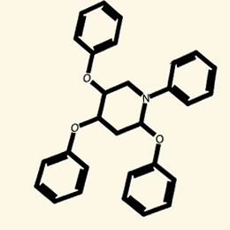 [c]1ccccc1N1CC(Oc2ccccc2)C(Oc2ccccc2)CC1Oc1ccccc1